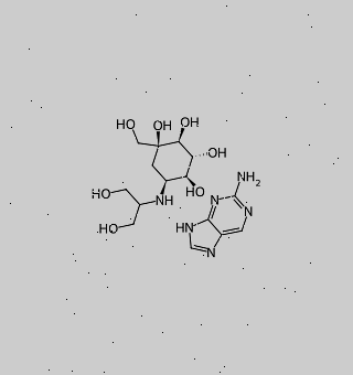 Nc1ncc2nc[nH]c2n1.OCC(CO)N[C@H]1C[C@](O)(CO)[C@@H](O)[C@H](O)[C@H]1O